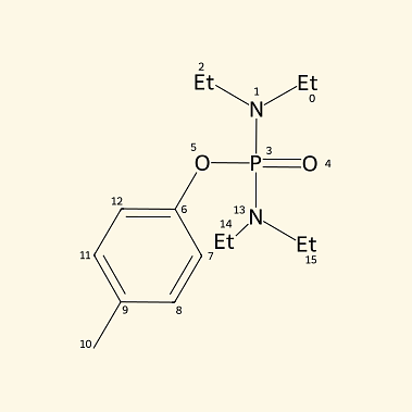 CCN(CC)P(=O)(Oc1ccc(C)cc1)N(CC)CC